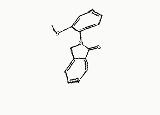 CSc1ccccc1N1Cc2ccccc2C1=O